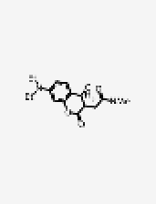 CCN(CC)c1ccc2c(c1)OC(=O)C(CC(=O)NC)C2C